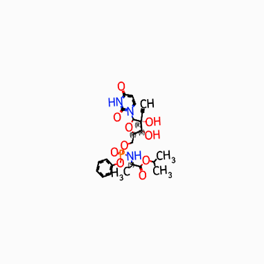 C#C[C@]1(O)C(n2ccc(=O)[nH]c2=O)O[C@H](COP(=O)(N[C@@H](C)C(=O)OC(C)C)Oc2ccccc2)[C@H]1O